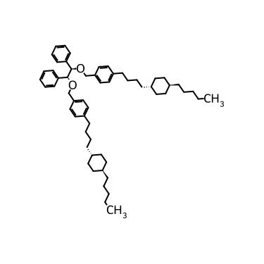 CCCCC[C@H]1CC[C@H](CCCCc2ccc(CO[C@H](c3ccccc3)[C@H](OCc3ccc(CCCC[C@H]4CC[C@H](CCCCC)CC4)cc3)c3ccccc3)cc2)CC1